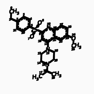 CCc1ccc(S(=O)(=O)c2cc(N3CCN(C(C)C)CC3)c3cc(OC)ccc3n2)cc1